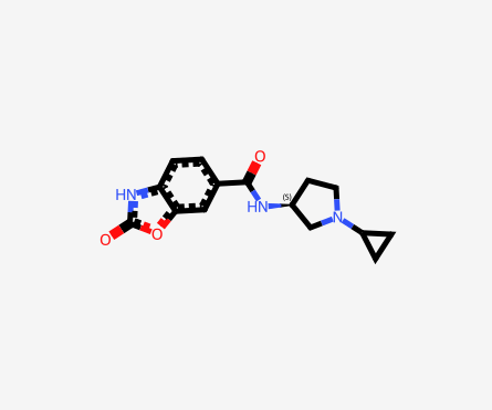 O=C(N[C@H]1CCN(C2CC2)C1)c1ccc2[nH]c(=O)oc2c1